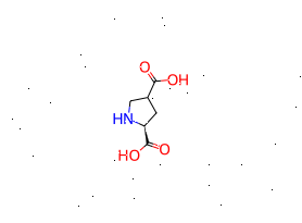 O=C(O)C1CN[C@H](C(=O)O)C1